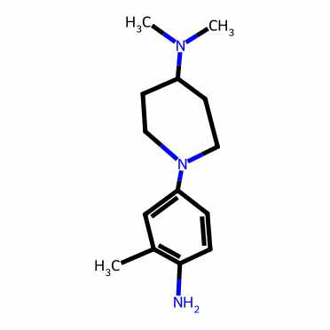 Cc1cc(N2CCC(N(C)C)CC2)ccc1N